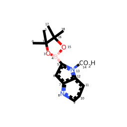 CC1(C)OB(c2cc3ncccc3n2C(=O)O)OC1(C)C